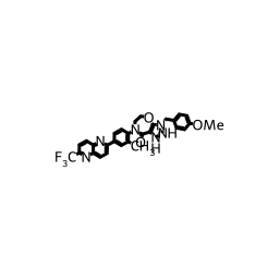 COc1ccc(CN2NNC3=C2OCCN(c2ccc(-c4ccc5nc(C(F)(F)F)ccc5n4)cc2C)C3=O)cc1